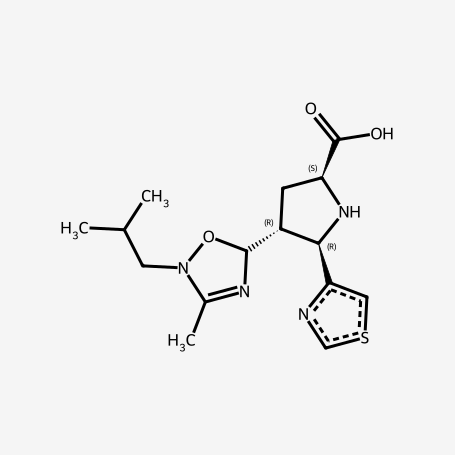 CC1=NC([C@@H]2C[C@@H](C(=O)O)N[C@H]2c2cscn2)ON1CC(C)C